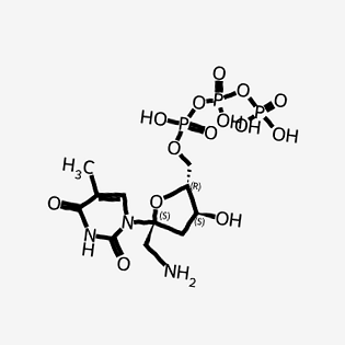 Cc1cn([C@@]2(CN)C[C@H](O)[C@@H](COP(=O)(O)OP(=O)(O)OP(=O)(O)O)O2)c(=O)[nH]c1=O